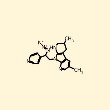 Cc1cnc2c(c1)c1c(n2CC(N=[N+]=[N-])c2ccncc2)NCC(C)C1